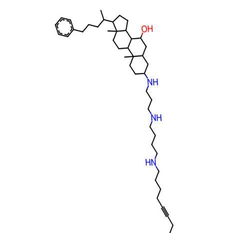 CCC#CCCCCNCCCCNCCCNC1CCC2(C)C(C1)CC(O)C1C2CCC2(C)C(C(C)CCCc3ccccc3)CCC12